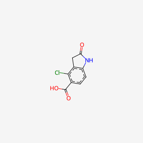 O=C1Cc2c(ccc(C(=O)O)c2Cl)N1